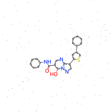 O=C(Nc1ccccc1)c1cnc2c(-c3cc(-c4ccccc4)cs3)cnn2c1O